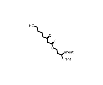 CCCCCC(CCCCC)CCOC(=O)CC(=O)CCCCO